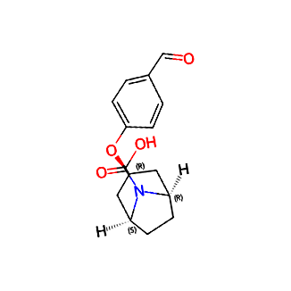 O=Cc1ccc(O[C@H]2C[C@H]3CC[C@@H](C2)N3C(=O)O)cc1